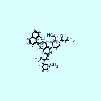 C=CC(O)N1CCN(c2nc(OC(=C)[C@@H]3CCCN3C)nc3c2CCN(c2cccc4cccc(Cl)c24)C3)C[C@@H]1CC#N